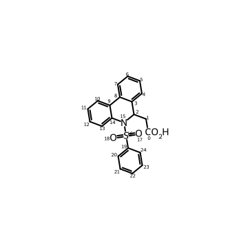 O=C(O)CC1c2ccccc2-c2ccccc2N1S(=O)(=O)c1ccccc1